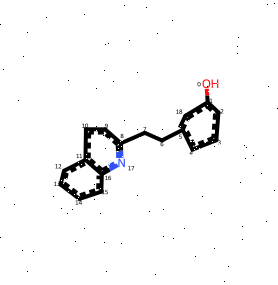 Oc1cccc(CCc2ccc3ccccc3n2)c1